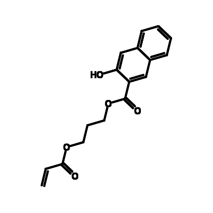 C=CC(=O)OCCCOC(=O)c1cc2ccccc2cc1O